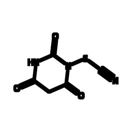 N#CSN1C(=O)CC(=O)NC1=O